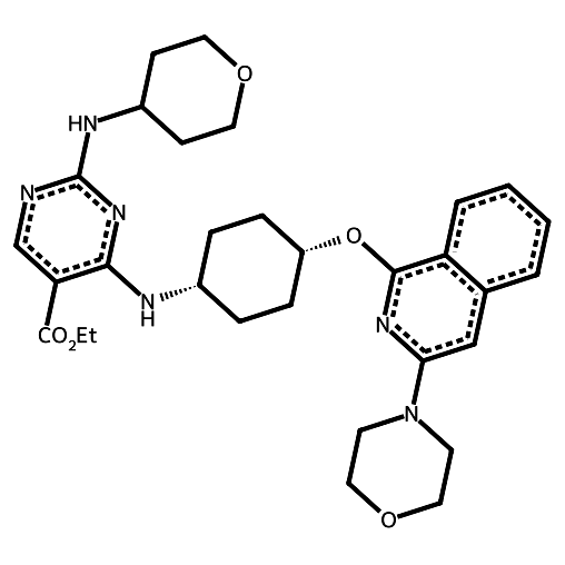 CCOC(=O)c1cnc(NC2CCOCC2)nc1N[C@H]1CC[C@@H](Oc2nc(N3CCOCC3)cc3ccccc23)CC1